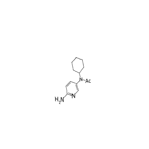 CC(=O)N(c1ccc(N)nc1)C1CCCCC1